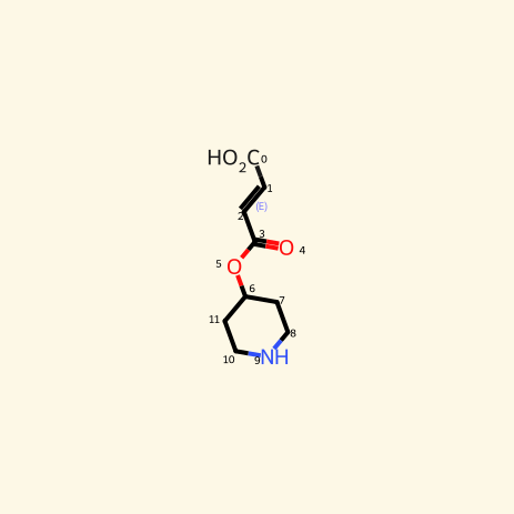 O=C(O)/C=C/C(=O)OC1CCNCC1